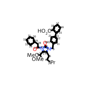 COC(OC)c1c(CCC(C)C)n(Cc2ccc(-c3ccccc3C(=O)O)cc2)c(=O)n1C(=O)Cc1ccccc1